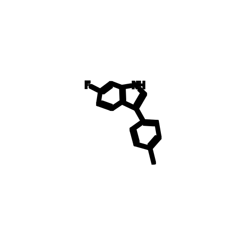 Cc1ccc(-c2c[nH]c3cc(F)ccc23)cc1